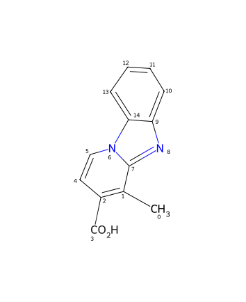 Cc1c(C(=O)O)ccn2c1nc1ccccc12